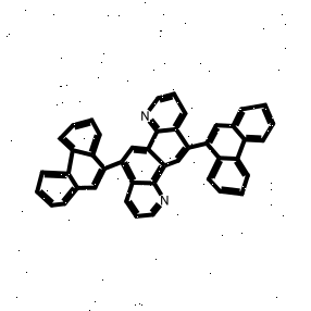 c1ccc2c(c1)cc(-c1cc3c(cc(-c4cc5ccccc5c5ccccc45)c4cccnc43)c3ncccc13)c1ccccc12